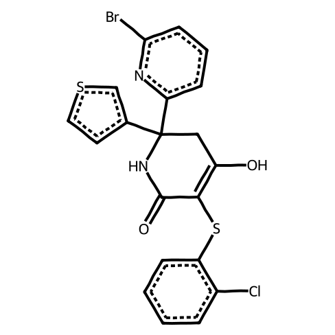 O=C1NC(c2ccsc2)(c2cccc(Br)n2)CC(O)=C1Sc1ccccc1Cl